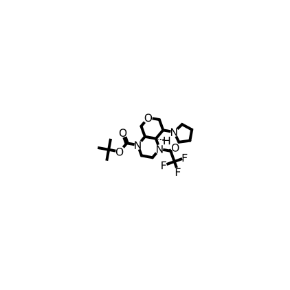 CC(C)(C)OC(=O)N1CCN(C(=O)C(F)(F)F)[C@@H]2C(N3CCCC3)COCC21